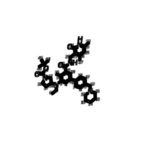 CCN(c1cc(-c2ccc(CN3CCCCC3)cc2)cc(C(=O)NCc2c(C)cc(C)[nH]c2=O)c1C)C1CCN(C(=O)OC(C)(C)C)C1